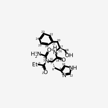 CCC(=O)N(C(N)=O)[C@@H](Cc1c[nH]cn1)C(=O)N[C@H](CO)Cc1ccccc1